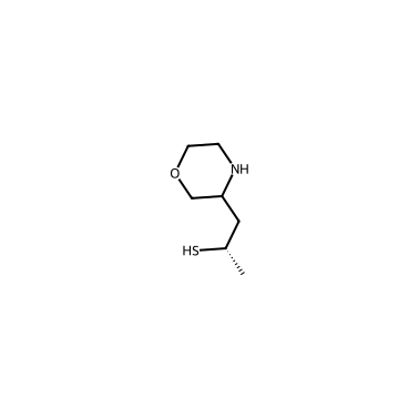 C[C@H](S)CC1COCCN1